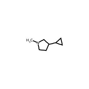 CN1CCC(C2CC2)C1